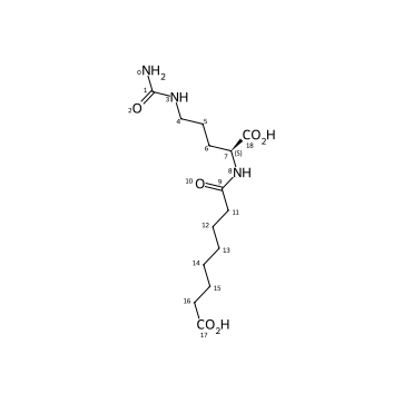 NC(=O)NCCC[C@H](NC(=O)CCCCCCC(=O)O)C(=O)O